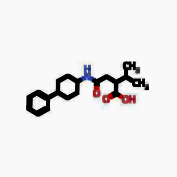 CC(C)C(CC(=O)NC1CCC(c2ccccc2)CC1)C(=O)O